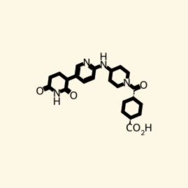 O=C1CCC(c2ccc(NC3CCN(C(=O)[C@H]4CC[C@@H](C(=O)O)CC4)CC3)nc2)C(=O)N1